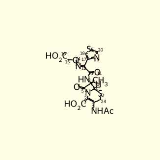 CC(=O)NC1=C(C(=O)O)N2C(=O)C(C)(NC(=O)C(=NOCC(=O)O)c3cscn3)[C@@H]2SC1